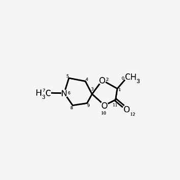 CC1OC2(CCN(C)CC2)OC1=O